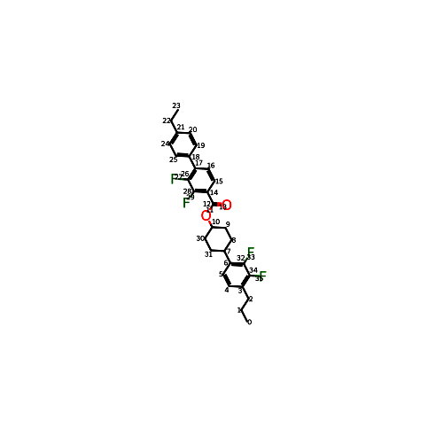 CCCc1ccc(C2CCC(OC(=O)c3ccc(-c4ccc(CC)cc4)c(F)c3F)CC2)c(F)c1F